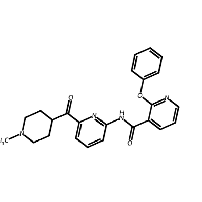 CN1CCC(C(=O)c2cccc(NC(=O)c3cccnc3Oc3ccccc3)n2)CC1